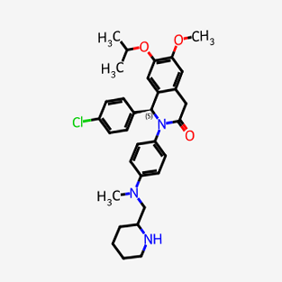 COc1cc2c(cc1OC(C)C)[C@H](c1ccc(Cl)cc1)N(c1ccc(N(C)CC3CCCCN3)cc1)C(=O)C2